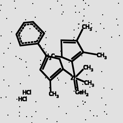 CC1=CC(C)[C]([Zr]([CH3])([CH3])(=[GeH2])[C]2=C(C)C=C(c3ccccc3)C2)=C1C.Cl.Cl